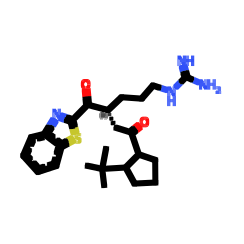 CC(C)(C)C1CCCC1C(=O)C[C@@H](CCCNC(=N)N)C(=O)c1nc2ccccc2s1